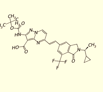 C[C@@H](C1CC1)N1Cc2cc(/C=C/c3ccn4nc(NC(=O)OC(C)(C)C)c(C(=O)O)c4n3)cc(C(F)(F)F)c2C1=O